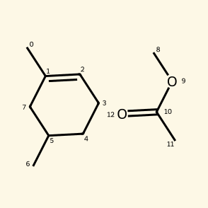 CC1=CCCC(C)C1.COC(C)=O